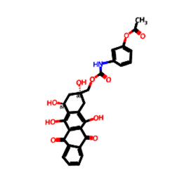 CC(=O)Oc1cccc(NC(=O)OC[C@@]2(O)Cc3c(O)c4c(c(O)c3[C@@H](O)C2)C(=O)c2ccccc2C4=O)c1